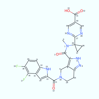 CN(C(=O)c1[nH]nc2c1CN(C(=O)c1cc3c(F)c(F)ccc3[nH]1)CC2)C1(c2ncc(C(=O)O)cn2)CC1